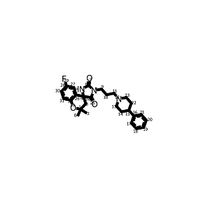 CC1(C)CC2(NC(=O)N(CCCN3CCC(c4ccccc4)CC3)C2=O)c2cc(F)ccc2O1